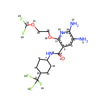 Nc1cc(C(=O)NC2CCC(C(F)(F)F)CC2)c(OCCOC(F)F)nc1N